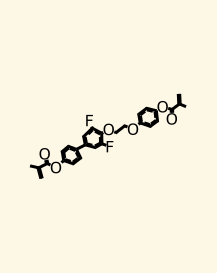 C=C(C)C(=O)Oc1ccc(OCCOc2c(F)cc(-c3ccc(OC(=O)C(=C)C)cc3)cc2F)cc1